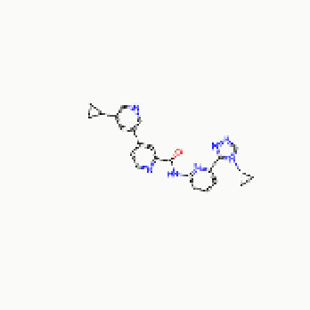 O=C(Nc1cccc(-c2nncn2C2CC2)n1)c1cc(-c2cncc(C3CC3)c2)ccn1